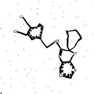 Clc1ccc(CNC2=Nc3ocnc3NC23CCCCC3)cc1Cl